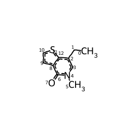 CCc1cn(C)c(=O)c2ccsc12